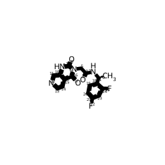 C[C@H](NC(=O)Cn1c(=O)[nH]c2cnccc2c1=O)c1ccc(F)cc1F